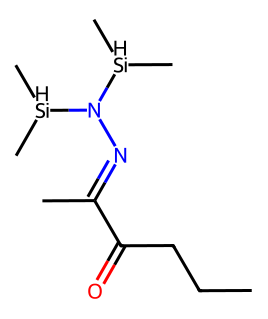 CCCC(=O)C(C)=NN([SiH](C)C)[SiH](C)C